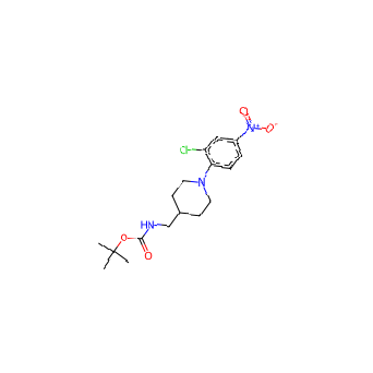 CC(C)(C)OC(=O)NCC1CCN(c2ccc([N+](=O)[O-])cc2Cl)CC1